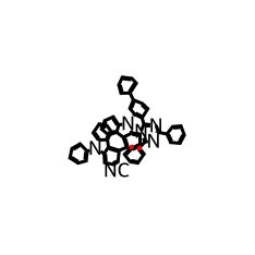 N#Cc1ccc(-c2nc(-c3ccccc3)nc(-c3ccc(-c4ccccc4)cc3-n3c4ccccc4c4c(-c5cccc6c5c5ccccc5n6-c5ccccc5)cccc43)n2)cc1